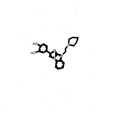 Oc1ccc(-c2cn3c4ccccc4n(CCN4CCCCC4)c3n2)cc1O